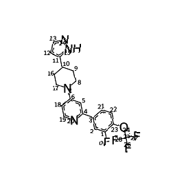 Fc1cc(-c2cc(N3CCC(c4ccn[nH]4)CC3)ccn2)ccc1OC(F)(F)F